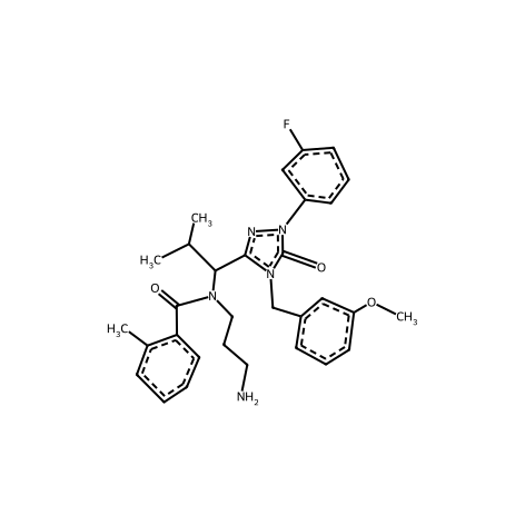 COc1cccc(Cn2c(C(C(C)C)N(CCCN)C(=O)c3ccccc3C)nn(-c3cccc(F)c3)c2=O)c1